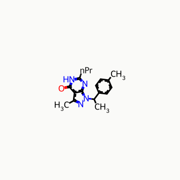 CCCc1nc2c(c(C)nn2C(C)c2ccc(C)cc2)c(=O)[nH]1